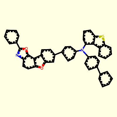 c1ccc(-c2ccc(N(c3ccc(-c4ccc5c(c4)oc4ccc6nc(-c7ccccc7)oc6c45)cc3)c3cccc4sc5ccccc5c34)cc2)cc1